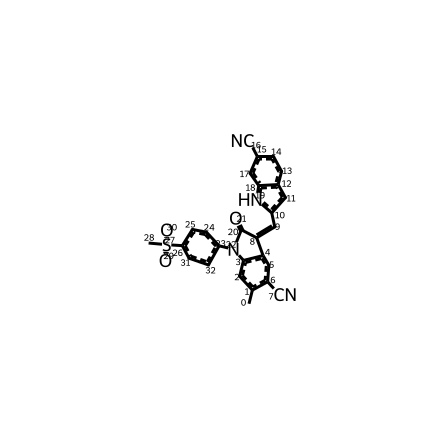 Cc1cc2c(cc1C#N)C(=Cc1cc3ccc(C#N)cc3[nH]1)C(=O)N2c1ccc(S(C)(=O)=O)cc1